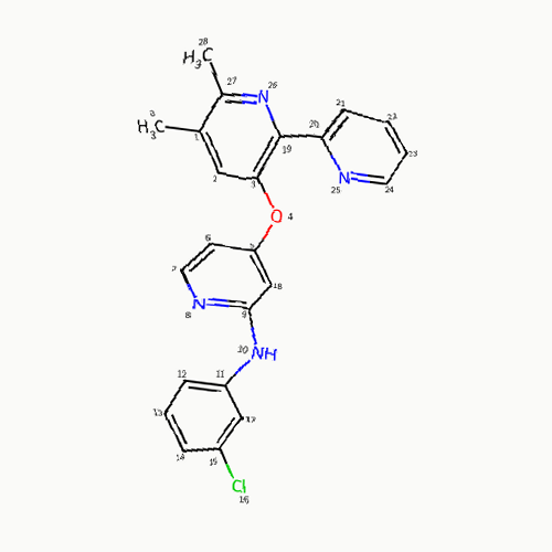 Cc1cc(Oc2ccnc(Nc3cccc(Cl)c3)c2)c(-c2ccccn2)nc1C